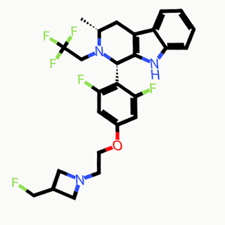 C[C@@H]1Cc2c([nH]c3ccccc23)[C@H](c2c(F)cc(OCCN3CC(CF)C3)cc2F)N1CC(F)(F)F